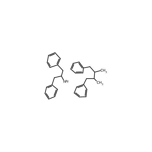 CC(Cc1ccccc1)C(C)Cc1ccccc1.CCCC(Cc1ccccc1)Cc1ccccc1